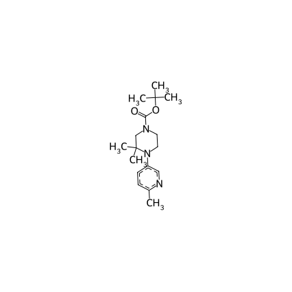 Cc1ccc(N2CCN(C(=O)OC(C)(C)C)CC2(C)C)cn1